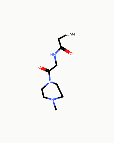 COCC(=O)NCC(=O)N1CCN(C)CC1